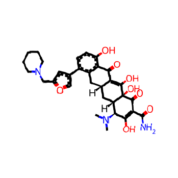 CN(C)[C@@H]1C(O)=C(C(N)=O)C(=O)[C@@]2(O)C(O)=C3C(=O)c4c(O)ccc(-c5coc(CN6CCCCC6)c5)c4C[C@H]3C[C@@H]12